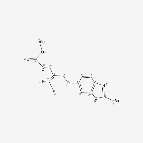 CCCCc1nc2ccc(OCC(CNC(=O)OC(C)(C)C)=C(F)F)cc2o1